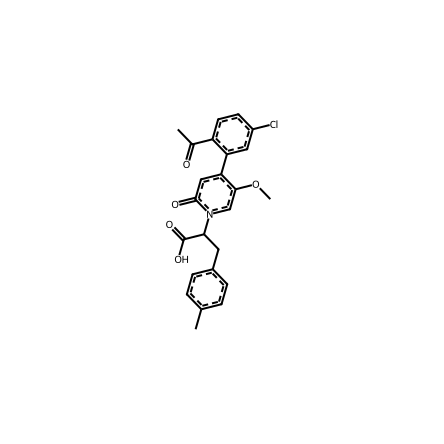 COc1cn(C(Cc2ccc(C)cc2)C(=O)O)c(=O)cc1-c1cc(Cl)ccc1C(C)=O